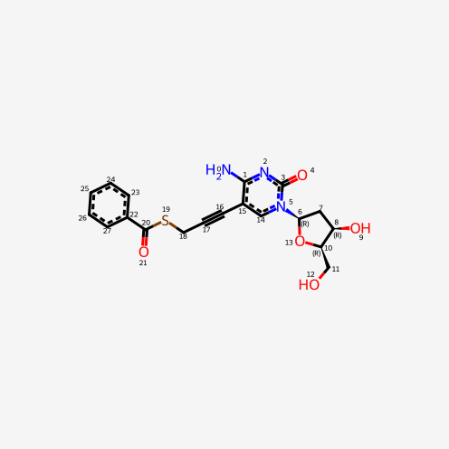 Nc1nc(=O)n([C@H]2C[C@@H](O)[C@@H](CO)O2)cc1C#CCSC(=O)c1ccccc1